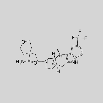 C[C@H]1c2c([nH]c3ccc(C(F)(F)F)cc23)C[C@H]2CCN(CCC3(C(N)=O)CCOCC3)C[C@@H]21